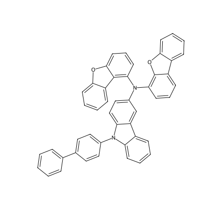 c1ccc(-c2ccc(-n3c4ccccc4c4cc(N(c5cccc6c5oc5ccccc56)c5cccc6oc7ccccc7c56)ccc43)cc2)cc1